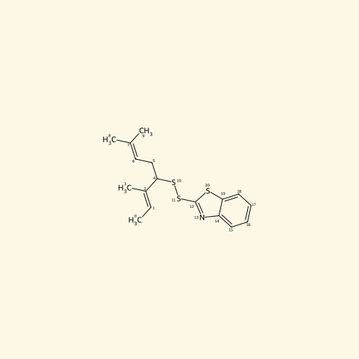 CC=C(C)C(CC=C(C)C)SSc1nc2ccccc2s1